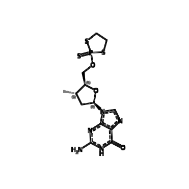 C[C@H]1C[C@H](n2cnc3c(=O)[nH]c(N)nc32)O[C@@H]1COP1(=S)SCCS1